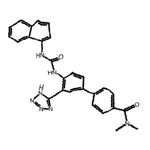 CN(C)C(=O)c1ccc(-c2ccc(NC(=O)Nc3cccc4ccccc34)c(-c3nnn[nH]3)c2)cc1